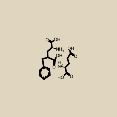 N[C@@H](CC(Cc1ccccc1)C(=O)O)C(=O)O.N[C@@H](CCC(=O)O)C(=O)O